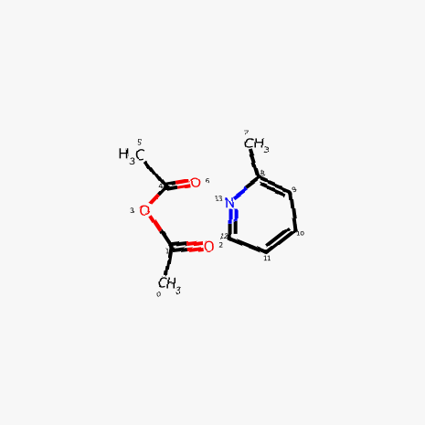 CC(=O)OC(C)=O.Cc1ccccn1